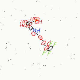 O=C(CCOCCOCCC(=O)Oc1c(F)c(F)cc(F)c1F)Nc1ccc(O[C@H]2O[C@H](CCP(=O)(O)O)C[C@H](O)[C@@H]2O)cc1